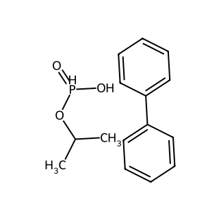 CC(C)O[PH](=O)O.c1ccc(-c2ccccc2)cc1